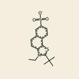 CC[n+]1c(C(C)(C)C)sc2c3ccc(S(=O)(=O)[O-])cc3ccc21